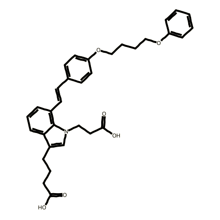 O=C(O)CCCc1cn(CCC(=O)O)c2c(/C=C/c3ccc(OCCCCOc4ccccc4)cc3)cccc12